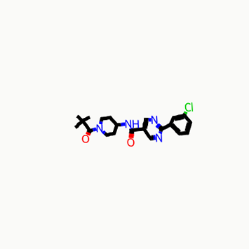 CC(C)(C)C(=O)N1CCC(NC(=O)c2cnc(-c3cccc(Cl)c3)nc2)CC1